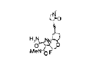 CNC(=O)c1c(C(N)=O)nn2c1[C@@H](F)COc1ccc(C#C[C@@H]3CCN(C)C3=O)cc1-2